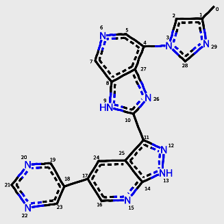 Cc1cn(-c2cncc3[nH]c(-c4n[nH]c5ncc(-c6cncnc6)cc45)nc23)cn1